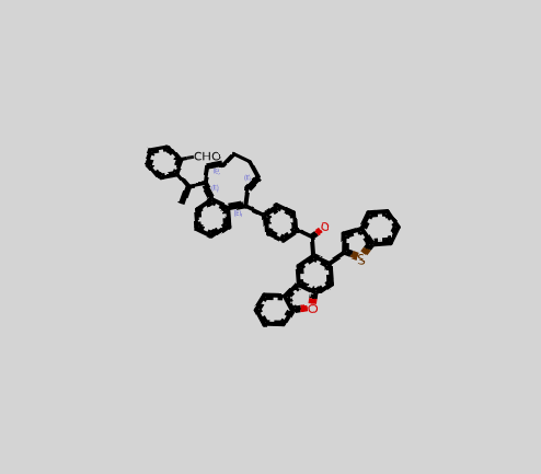 C=C(C1=c2\cccc\c2=C(c2ccc(C(=O)c3cc4c(cc3-c3cc5ccccc5s3)oc3ccccc34)cc2)\C=C\CC\C=C\1)c1ccccc1C=O